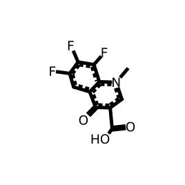 Cn1cc(C(=O)O)c(=O)c2cc(F)c(F)c(F)c21